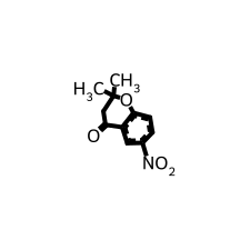 CC1(C)CC(=O)c2cc([N+](=O)[O-])ccc2O1